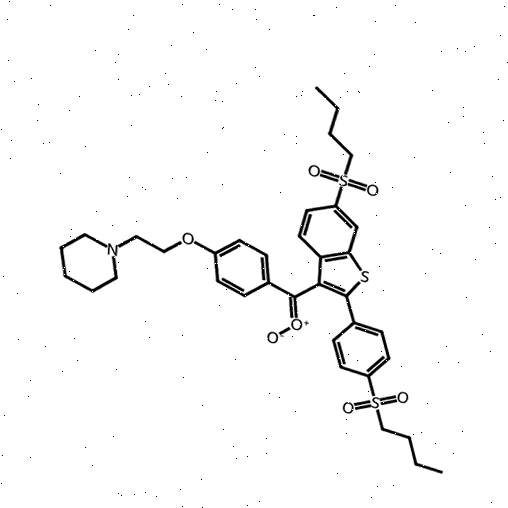 CCCCS(=O)(=O)c1ccc(-c2sc3cc(S(=O)(=O)CCCC)ccc3c2C(=[O+][O-])c2ccc(OCCN3CCCCC3)cc2)cc1